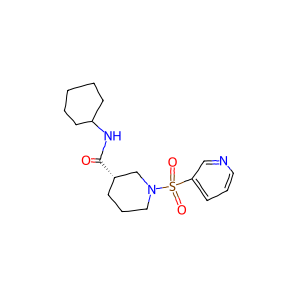 O=C(NC1CCCCC1)[C@H]1CCCN(S(=O)(=O)c2cccnc2)C1